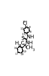 CC(C)(NC(=S)Nc1ccc(Cl)cc1)c1ccccc1